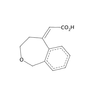 O=C(O)/C=C1/CCOCc2ccccc21